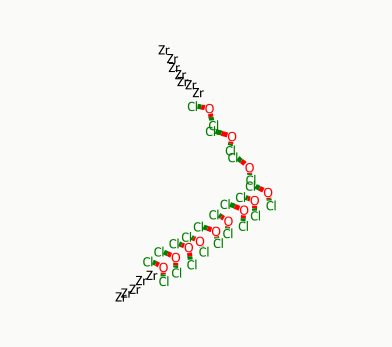 ClOCl.ClOCl.ClOCl.ClOCl.ClOCl.ClOCl.ClOCl.ClOCl.ClOCl.ClOCl.ClOCl.ClOCl.[Zr].[Zr].[Zr].[Zr].[Zr].[Zr].[Zr].[Zr].[Zr].[Zr].[Zr].[Zr]